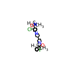 CN(C)C(=O)c1ccc(N2CCC(C3CCN(C(=O)C(C)(C)c4ccccc4F)CC3)CC2)cc1Cl